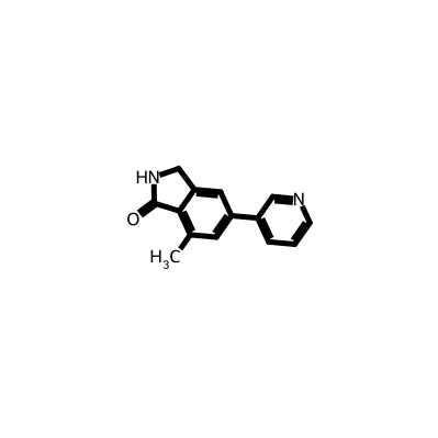 Cc1cc(-c2cccnc2)cc2c1C(=O)NC2